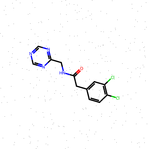 O=C(Cc1ccc(Cl)c(Cl)c1)NCc1ncncn1